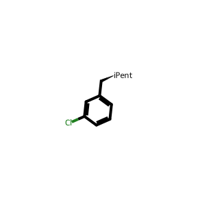 CCC[C@H](C)Cc1cccc(Cl)c1